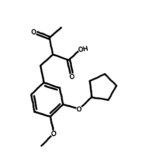 COc1ccc(CC(C(C)=O)C(=O)O)cc1OC1CCCC1